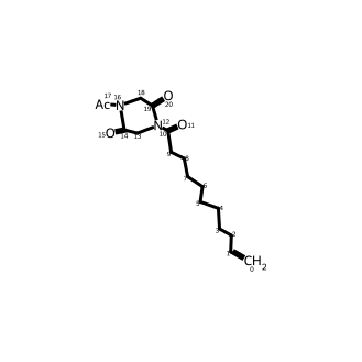 C=CCCCCCCCCC(=O)N1CC(=O)N(C(C)=O)CC1=O